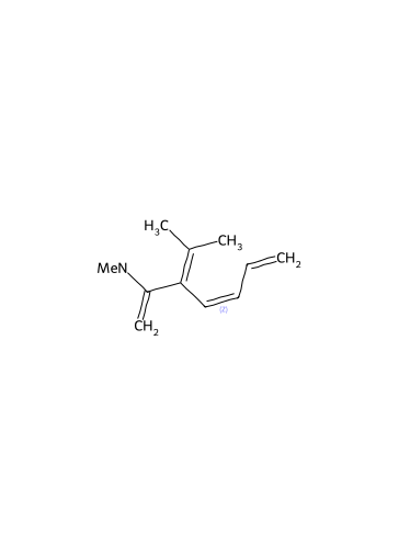 C=C/C=C\C(C(=C)NC)=C(C)C